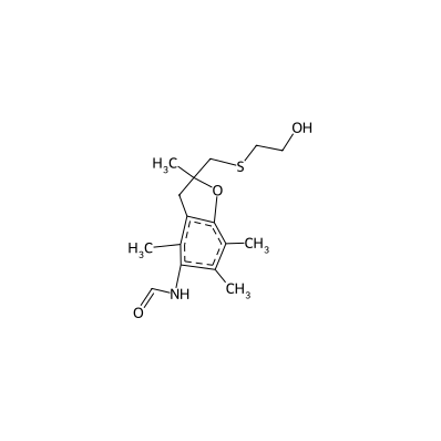 Cc1c(C)c2c(c(C)c1NC=O)CC(C)(CSCCO)O2